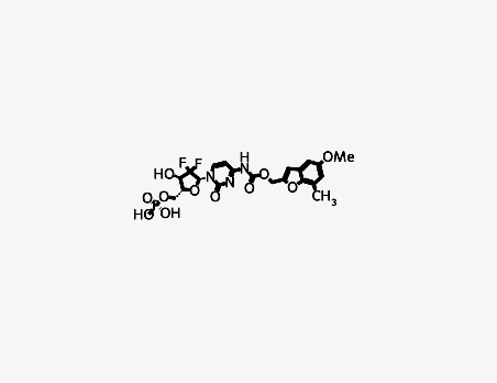 COc1cc(C)c2oc(COC(=O)Nc3ccn([C@@H]4O[C@H](COP(=O)(O)O)[C@@H](O)C4(F)F)c(=O)n3)cc2c1